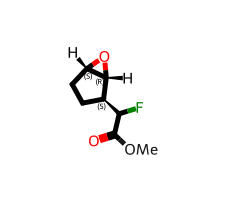 COC(=O)C(F)[C@H]1CC[C@@H]2O[C@@H]21